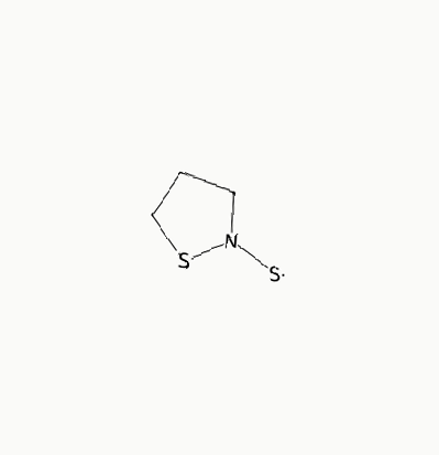 [S]N1CCCS1